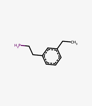 CCc1cccc(CCP)c1